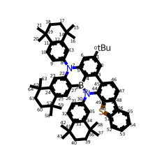 CC(C)(C)c1cc2c3c(c1)N(c1ccc4c(c1)C(C)(C)CCC4(C)C)c1cc4c(cc1B3N(c1ccc3c(c1)C(C)(C)CCC3(C)C)c1c-2ccc2c1sc1ccccc12)C(C)(C)CCC4(C)C